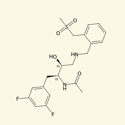 CC(=O)N[C@@H](Cc1cc(F)cc(F)c1)[C@@H](O)CNCc1ccccc1CS(C)(=O)=O